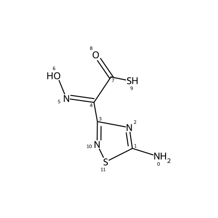 Nc1nc(/C(=N/O)C(=O)S)ns1